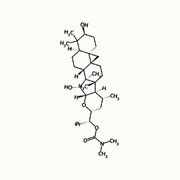 CC(C)[C@@H](OC(=O)N(C)C)[C@H]1C[C@@H](C)[C@H]2[C@H](O1)[C@H](O)[C@@]1(C)[C@@H]3CC[C@H]4C(C)(C)[C@@H](O)CC[C@@]45C[C@@]35CC[C@]21C